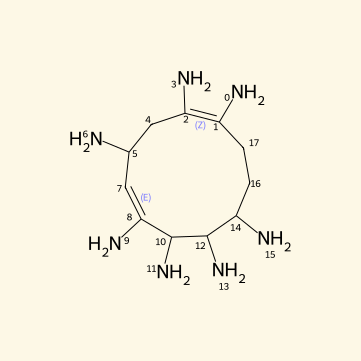 N/C1=C(\N)CC(N)/C=C(/N)C(N)C(N)C(N)CC1